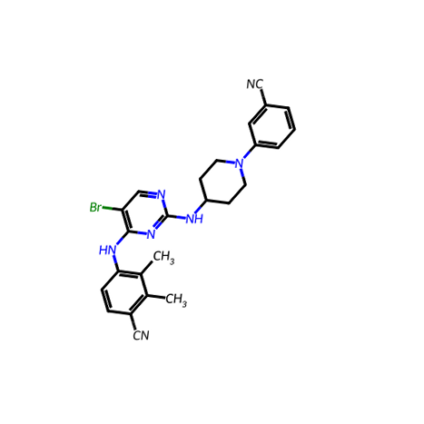 Cc1c(C#N)ccc(Nc2nc(NC3CCN(c4cccc(C#N)c4)CC3)ncc2Br)c1C